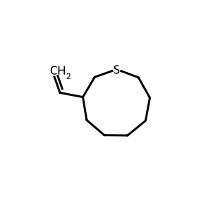 C=CC1CCCCCCSC1